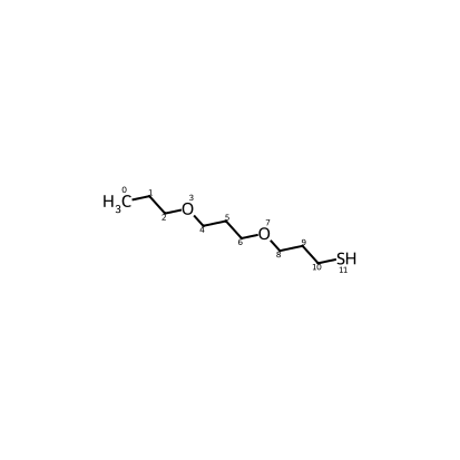 CCCOCCCOCCCS